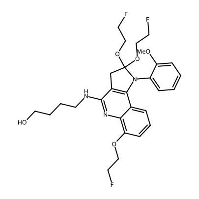 COc1ccccc1N1c2c(c(NCCCCO)nc3c(OCCF)cccc23)CC1(OCCF)OCCF